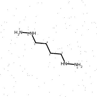 NNCCCCNN